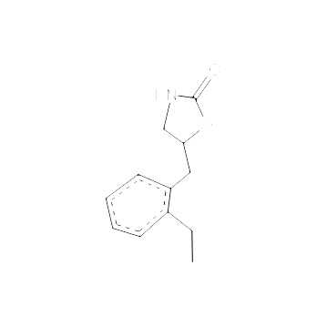 CCc1ccccc1CC1CNC(=O)O1